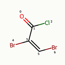 O=C(Cl)/C(Br)=C\Br